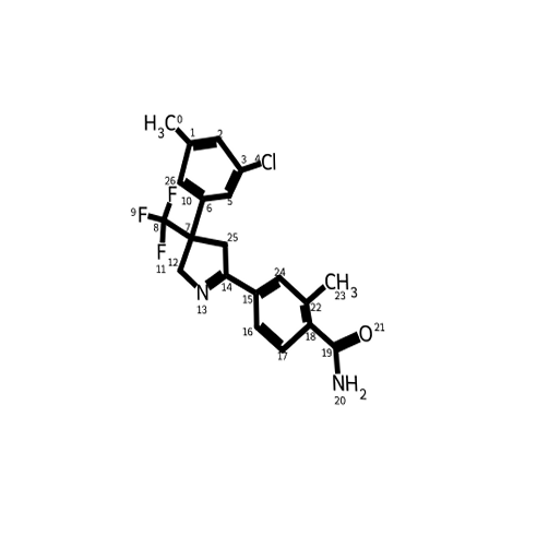 Cc1cc(Cl)cc(C2(C(F)(F)F)CN=C(c3ccc(C(N)=O)c(C)c3)C2)c1